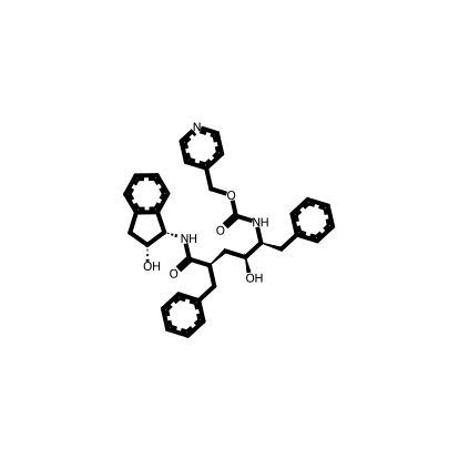 O=C(N[C@@H](Cc1ccccc1)[C@@H](O)C[C@@H](Cc1ccccc1)C(=O)N[C@H]1c2ccccc2C[C@H]1O)OCc1ccncc1